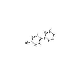 Brc1ccc(C2=CCCN=C2)cc1